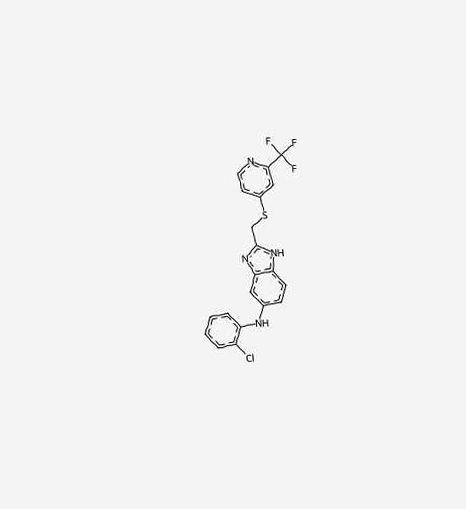 FC(F)(F)c1cc(SCc2nc3cc(Nc4ccccc4Cl)ccc3[nH]2)ccn1